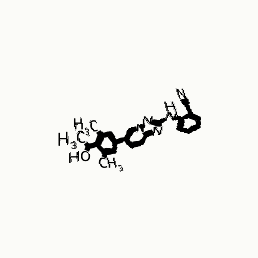 Cc1cc(-c2ccc3nc(Nc4ccccc4C#N)nn3c2)cc(C)c1C(C)O